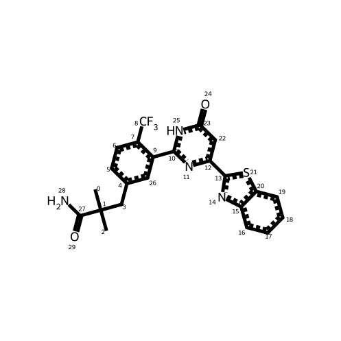 CC(C)(Cc1ccc(C(F)(F)F)c(-c2nc(-c3nc4ccccc4s3)cc(=O)[nH]2)c1)C(N)=O